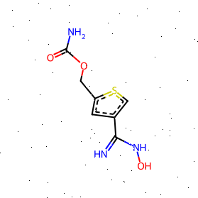 N=C(NO)c1csc(COC(N)=O)c1